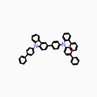 c1ccc(-c2ccc(N(c3ccc(-c4ccc5c(c4)c4ccccc4n5-c4ccc(-c5ccccc5)cc4)cc3)c3ccccc3-c3ccccc3)cc2)cc1